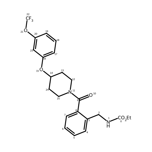 CCOC(=O)NCc1ccccc1C(=O)N1CCC(Oc2cccc(OC(F)(F)F)c2)CC1